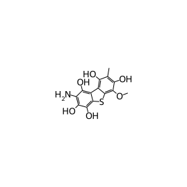 COc1c(O)c(C)c(O)c2c1sc1c(O)c(O)c(N)c(O)c12